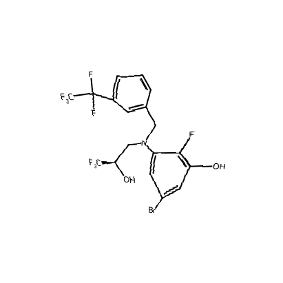 Oc1cc(Br)cc(N(Cc2cccc(C(F)(F)C(F)(F)F)c2)C[C@@H](O)C(F)(F)F)c1F